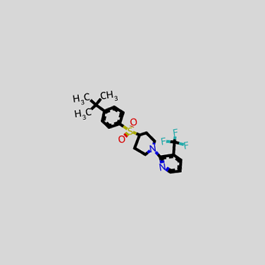 CC(C)(C)c1ccc(S(=O)(=O)C2CCN(c3ncccc3C(F)(F)F)CC2)cc1